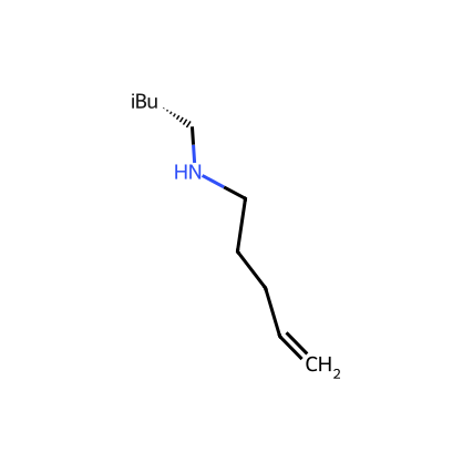 C=CCCCNC[C@@H](C)CC